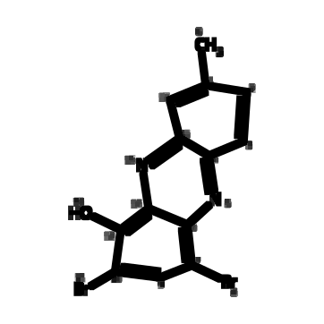 Cc1ccc2nc3c(Br)cc(Br)c(O)c3nc2c1